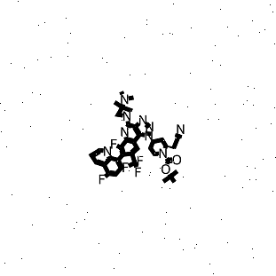 CN(C)C1(C)CN(c2nc3c(F)c(-c4ccc(F)c5cccnc45)c(C(F)(F)F)cc3c3c2nnn3[C@H]2CCN(C(=O)OC(C)(C)C)[C@H](CC#N)C2)C1